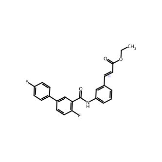 CCOC(=O)/C=C/c1cccc(NC(=O)c2cc(-c3ccc(F)cc3)ccc2F)c1